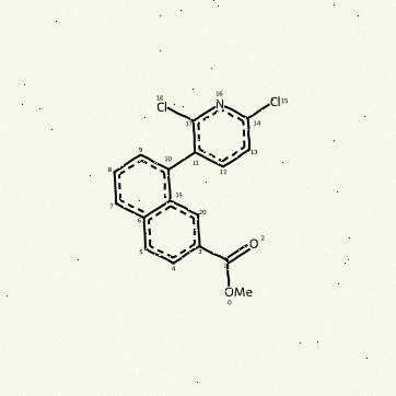 COC(=O)c1ccc2cccc(-c3ccc(Cl)nc3Cl)c2c1